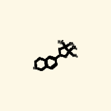 CC1(C)OB(c2ccc3c(c2)CCNC3)OC1(C)C